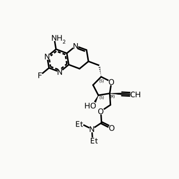 C#C[C@]1(COC(=O)N(CC)CC)O[C@@H](CC2C=Nc3c(N)nc(F)nc3C2)C[C@@H]1O